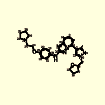 c1cc(-c2cnn(CC3CCCO3)c2)n2nc(Nc3ccc(OCCN4CCCC4)cc3)nc2c1